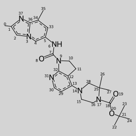 Cc1cn2cc(NC(=O)N3CCc4c(N5CCN(C(=O)OC(C)(C)C)C(C)(C)C5)ccnc43)cc(C)c2n1